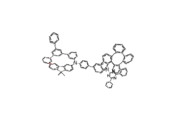 CC1(C)c2ccccc2-c2cc(N(c3ccc(-c4ccc5c(c4)c4ccc6c(c4n5-c4nc(-c5ccccc5)nc(-c5ccccc5)n4)-c4ccccc4-c4ccccc4-c4ccccc4-6)cc3)c3cccc(-c4cc(-c5ccccc5)cc(-c5ccccc5)c4)c3)ccc21